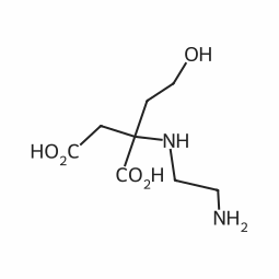 NCCNC(CCO)(CC(=O)O)C(=O)O